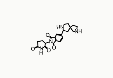 O=C1CCC(N2C(=O)c3ccc(C4CC5(CCNC5)CCN4)cc3C2=O)C(=O)N1